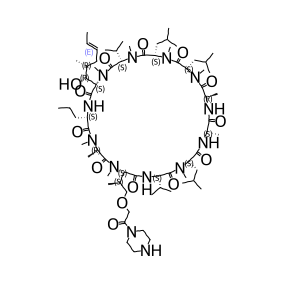 C/C=C/C[C@@H](C)[C@@H](O)[C@H]1C(=O)N[C@@H](CCC)C(=O)N(C)[C@H](C)C(=O)N(C)[C@@H]([C@H](C)COCC(=O)N2CCNCC2)C(=O)N[C@@H](C(C)C)C(=O)N(C)[C@@H](CC(C)C)C(=O)N[C@@H](C)C(=O)N[C@H](C)C(=O)N(C)[C@@H](CC(C)C)C(=O)N(C)[C@@H](CC(C)C)C(=O)N(C)[C@@H](C(C)C)C(=O)N1C